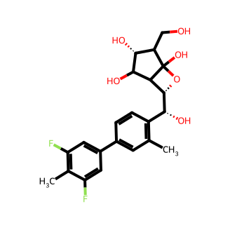 Cc1cc(-c2cc(F)c(C)c(F)c2)ccc1[C@@H](O)[C@H]1OC2(O)C(CO)[C@@H](O)C(O)C12